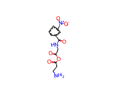 NCCC(=O)OC(=O)CNC(=O)c1cccc([N+](=O)[O-])c1